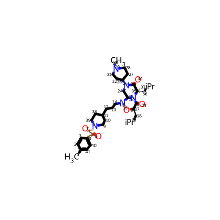 Cc1ccc(S(=O)(=O)N2CCC(CCCN3O[C@H](CC(C)C)C(=O)N4C3CN(C3CCN(C)CC3)C(=O)[C@@H]4CC(C)C)CC2)cc1